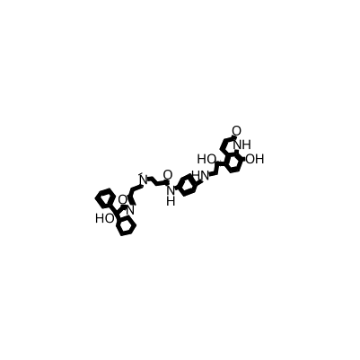 CN(CCC(=O)Nc1ccc(CNC[C@@H](O)c2ccc(O)c3[nH]c(=O)ccc23)cc1)CCc1cnc(C(O)(c2ccccc2)C2CCCCC2)o1